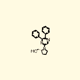 OC[C@H]1CCCN1c1cnc(-c2ccccc2)c(-c2ccccc2)n1